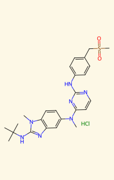 CN(c1ccc2c(c1)nc(NC(C)(C)C)n2C)c1ccnc(Nc2ccc(CS(C)(=O)=O)cc2)n1.Cl